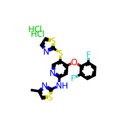 Cc1csc(Nc2cc(Oc3c(F)cccc3F)c(Sc3nccs3)cn2)n1.Cl.Cl